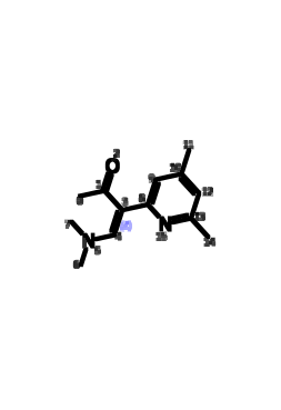 CC(=O)/C(=C\N(C)C)c1cc(C)cc(C)n1